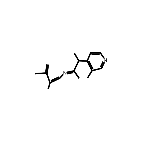 C=C(C)/C(C)=C\N=C(/C)C(C)c1ccncc1C